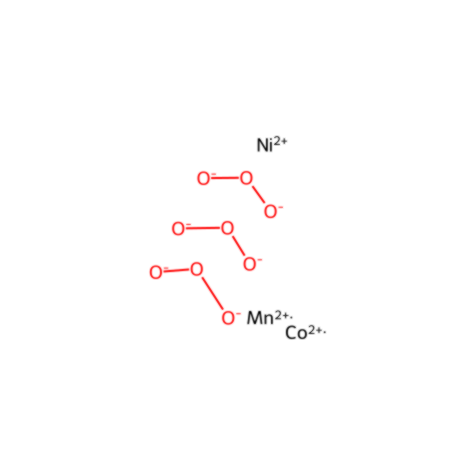 [Co+2].[Mn+2].[Ni+2].[O-]O[O-].[O-]O[O-].[O-]O[O-]